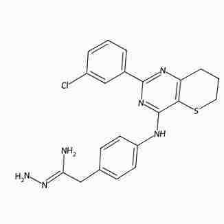 N/N=C(\N)Cc1ccc(Nc2nc(-c3cccc(Cl)c3)nc3c2SCCC3)cc1